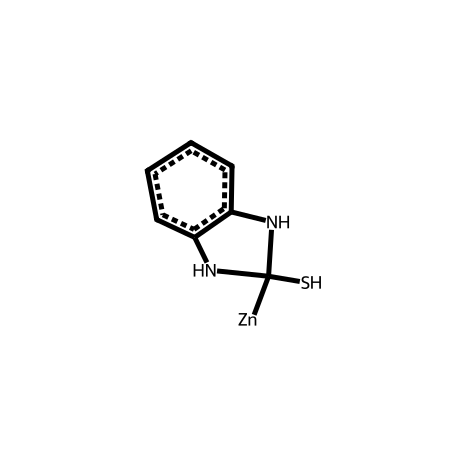 S[C]1([Zn])Nc2ccccc2N1